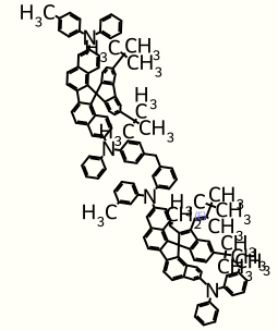 C=CC1=C(/C=C(\C)C(C)(C)C)c2cc(C(C)(C)C)ccc2C12c1c(ccc3cc(N(c4ccccc4)c4cccc(C)c4)ccc13)-c1ccc3cc(N(c4cccc(C)c4)c4cccc(Cc5ccc(N(c6ccccc6)c6ccc7c8c(ccc7c6)-c6ccc7cc(N(c9ccccc9)c9ccc(C)cc9)ccc7c6C86c7ccc(C(C)(C)C)cc7-c7cc(C(C)(C)C)ccc76)cc5)c4)ccc3c12